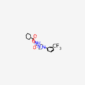 O=C(ONC(=O)N1CCN(c2cccc(C(F)(F)F)c2)CC1)C1CCCCC1